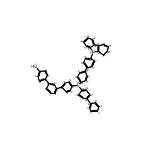 Oc1ccc(-c2cccc(-c3ccc(N(c4ccc(-c5ccccc5)cc4)c4ccc(-c5ccc(-n6c7c(c8ccccc86)C=CCC7)cc5)cc4)cc3)c2)cc1